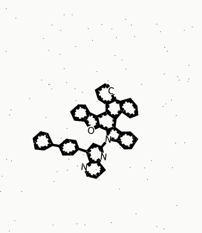 c1ccc(-c2ccc(-c3cc(-n4c5ccccc5c5c6c7ccccc7c7ccccc7c6c6c7ccccc7oc6c54)nc4cccnc34)cc2)cc1